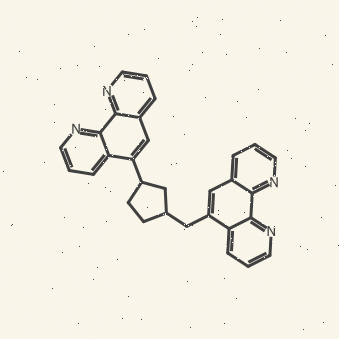 c1cnc2c(c1)cc(CC1CCC(c3cc4cccnc4c4ncccc34)C1)c1cccnc12